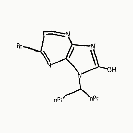 CCCC(CCC)n1c(O)nc2ncc(Br)nc21